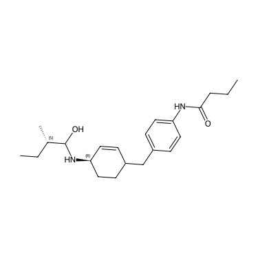 CCCC(=O)Nc1ccc(CC2C=C[C@H](NC(O)[C@@H](C)CC)CC2)cc1